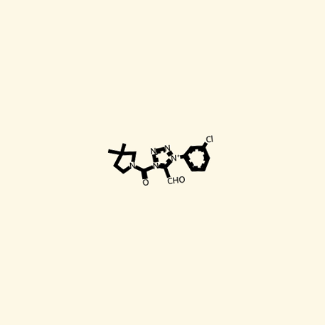 CC1(C)CCN(C(=O)n2nn[n+](-c3cccc(Cl)c3)c2C=O)C1